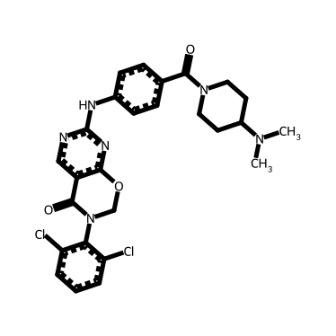 CN(C)C1CCN(C(=O)c2ccc(Nc3ncc4c(n3)OCN(c3c(Cl)cccc3Cl)C4=O)cc2)CC1